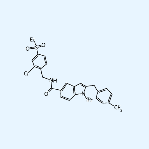 CCS(=O)(=O)c1ccc(CNC(=O)c2ccc3c(c2)cc(Cc2ccc(C(F)(F)F)cc2)n3C(C)C)c(Cl)c1